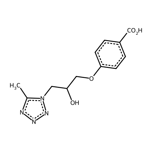 Cc1nnnn1CC(O)COc1ccc(C(=O)O)cc1